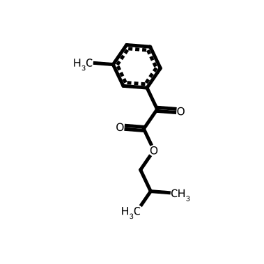 Cc1cccc(C(=O)C(=O)OCC(C)C)c1